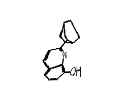 Oc1cccc2ccc(C3CC4CCC3CC4)nc12